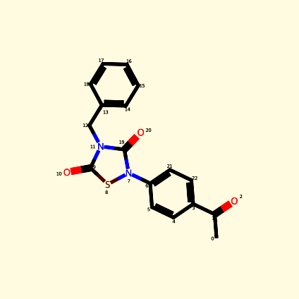 CC(=O)c1ccc(-n2sc(=O)n(Cc3ccccc3)c2=O)cc1